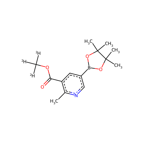 [2H]C([2H])([2H])OC(=O)c1cc(B2OC(C)(C)C(C)(C)O2)cnc1C